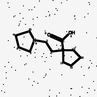 O=C(O)C1(CCN2CCCC2)CCCC1